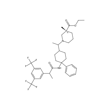 CCOC(=O)[C@]1(C)CCCN(C(C)C2CCC(NC(=O)C(C)c3cc(C(F)(F)F)cc(C(F)(F)F)c3)(c3ccccc3)CC2)C1